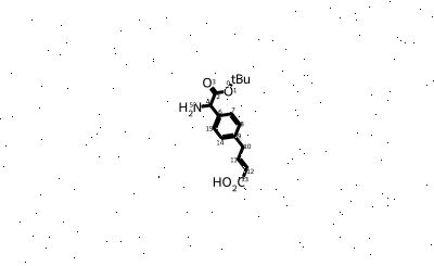 CC(C)(C)OC(=O)C(N)c1ccc(CC=CC(=O)O)cc1